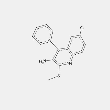 CSc1nc2ccc(Cl)cc2c(-c2ccccc2)c1N